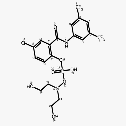 O=C(Nc1cc(C(F)(F)F)cc(C(F)(F)F)c1)c1cc(Cl)ccc1OP(=O)(O)ON(CCO)CCO